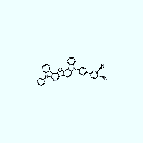 N#Cc1ccc(-c2ccc(-n3c4ccccc4c4c5oc6c(ccc7c6c6ccccc6n7-c6ccccc6)c5ccc43)cc2)cc1C#N